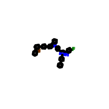 Fc1ccc(C2C=C(c3ccc(-n4c5ccccc5c5cc(-c6ccc(-c7cccc8c7sc7ccccc78)cc6)ccc54)cc3)N=C(c3ccc(-c4ccccc4)cc3)N2)cc1